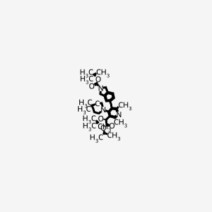 Cc1nc(C)c([C@H](OC(C)(C)C)C(=O)OC(C)C)c(N2CCC(C)(C)CC2)c1-c1ccc2c(c1)CN(C(=O)OC(C)(C)C)C2